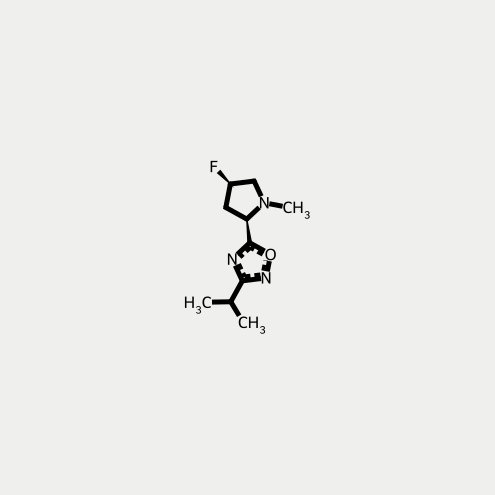 CC(C)c1noc([C@H]2C[C@@H](F)CN2C)n1